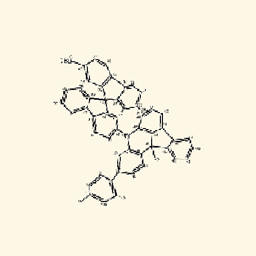 Cc1ccc(-c2ccc3c(c2)N(c2ccc4c(c2)C2(c5ccccc5-4)c4cc(C(C)(C)C)ccc4-c4ccc(C(C)(C)C)cc42)c2cccc4c2C3(C)c2ccccc2-4)cc1